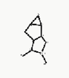 CC1C2CC3CC3C2CN1C